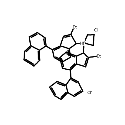 CCC1=Cc2c(-c3cccc4ccccc34)cccc2[CH]1[Hf+2]1([CH]2C(CC)=Cc3c(-c4cccc5ccccc45)cccc32)[CH2]C[CH2]1.[Cl-].[Cl-]